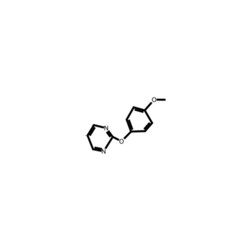 COc1ccc(Oc2n[c][c]cn2)cc1